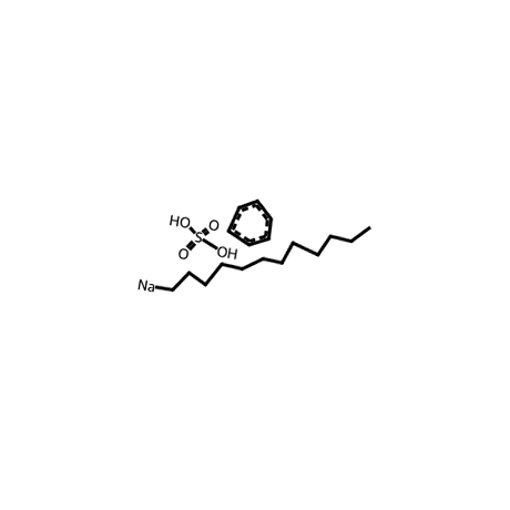 CCCCCCCCCCC[CH2][Na].O=S(=O)(O)O.c1ccccc1